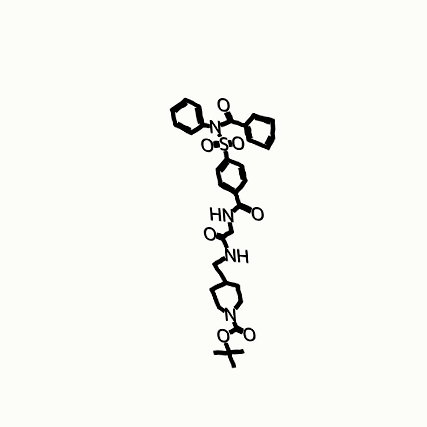 CC(C)(C)OC(=O)N1CCC(CNC(=O)CNC(=O)c2ccc(S(=O)(=O)N(C(=O)c3ccccc3)c3ccccc3)cc2)CC1